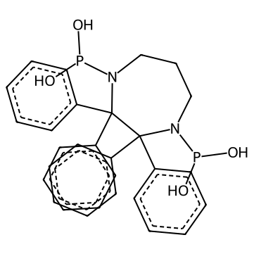 OP(O)N1CCCN(P(O)O)C(c2ccccc2)(c2ccccc2)C1(c1ccccc1)c1ccccc1